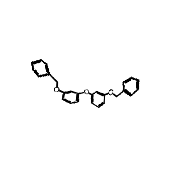 c1ccc(COc2cccc(Oc3cccc(OCc4ccccc4)c3)c2)cc1